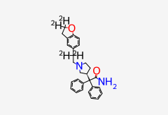 [2H]C1([2H])Cc2cc(C([2H])([2H])CN3CC[C@@H](C(C(N)=O)(c4ccccc4)c4ccccc4)C3)ccc2O1